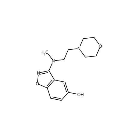 CN(CCN1CCOCC1)c1noc2ccc(O)cc12